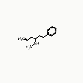 C=CC[C@@H](CCc1ccccc1)NN